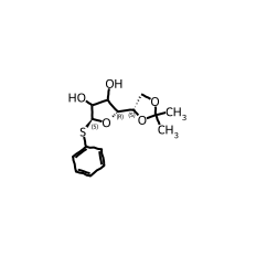 CC1(C)OC[C@@H]([C@@H]2O[C@@H](Sc3ccccc3)C(O)C2O)O1